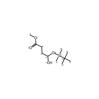 COC(=O)CCC(O)O[Si](C)(C)C(C)(C)C